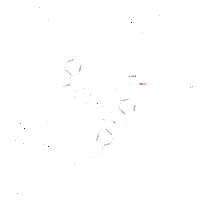 COc1ccccc1N(CCN1CCC(C(=O)c2ccc(F)cc2)CC1)S(=O)(=O)c1ccc(CN)cc1.O=C(O)C(=O)O